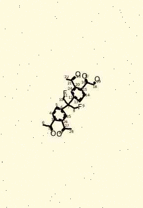 CC(=O)c1ccc(C(CF)(CF)c2ccc(C(=O)C=O)c(C(C)=O)c2)cc1C(C)=O